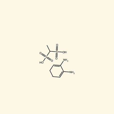 CC(S(=O)(=O)O)S(=O)(=O)O.NC1=C[CH]CC=C1N